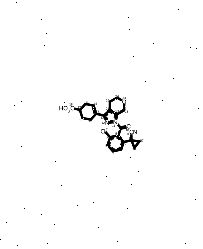 N#CC1(c2cccc(Cl)c2C(=O)n2nc(C3=CCC(C(=O)O)CC3)c3c2COCC3)CC1